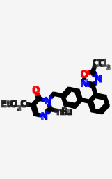 CCCCc1ncc(C(=O)OCC)c(=O)n1Cc1ccc(-c2ccccc2-c2noc(C(Cl)(Cl)Cl)n2)cc1